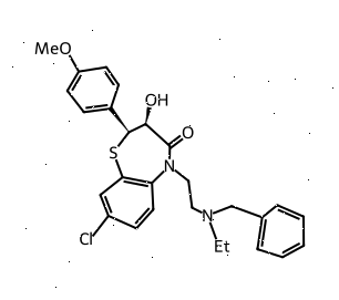 CCN(CCN1C(=O)[C@H](O)[C@H](c2ccc(OC)cc2)Sc2cc(Cl)ccc21)Cc1ccccc1